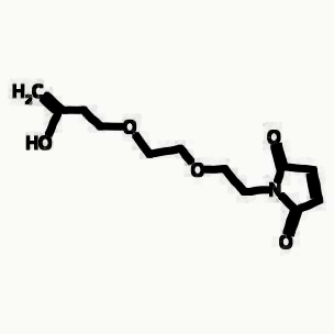 C=C(O)CCOCCOCCN1C(=O)C=CC1=O